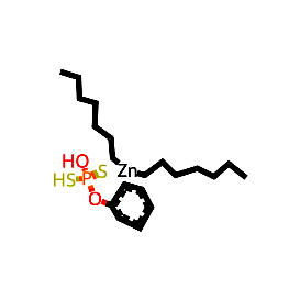 CCCCCC[CH2][Zn][CH2]CCCCCC.OP(=S)(S)Oc1ccccc1